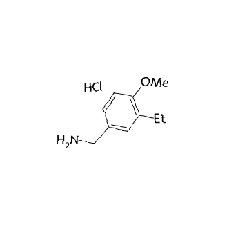 CCc1cc(CN)ccc1OC.Cl